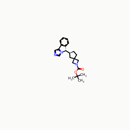 CC(C)(C)OC(=O)N1CC2(CC[C@H]([C@H]3c4ccccc4-c4cncn43)C2)C1